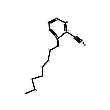 CCCCCCCCc1ccccc1C#N